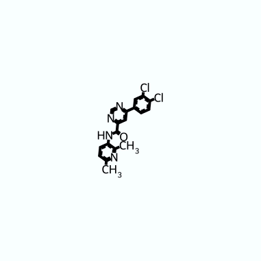 Cc1ccc(NC(=O)c2cc(-c3ccc(Cl)c(Cl)c3)ncn2)c(C)n1